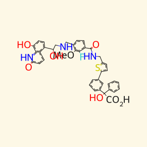 COc1c(CNCC(O)c2ccc(O)c3[nH]c(=O)ccc23)ccc(C(=O)NCc2ccc(-c3cccc(C(O)(C(=O)O)c4ccccc4)c3)s2)c1F